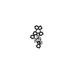 c1ccc(-c2nc3c(nc2-n2c4cccc5c4c4c(cccc42)-c2cccc4cccc-5c24)oc2ccccc23)cc1